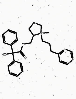 C[N+]1(CCCc2ccncn2)CCCC1COC(=O)C(O)(c1ccccc1)c1ccccc1